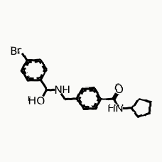 O=C(NC1CCCC1)c1ccc(CNC(O)c2ccc(Br)cc2)cc1